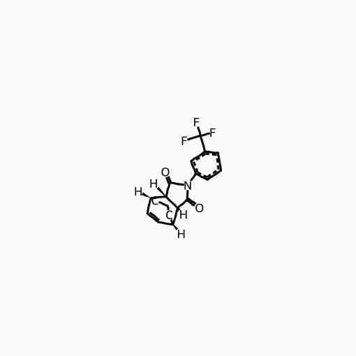 O=C1[C@@H]2[C@H](C(=O)N1c1cccc(C(F)(F)F)c1)[C@@H]1C=C[C@H]2CCC1